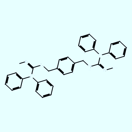 CC(C)/N=C(/NCc1ccc(CN/C(=N/C(C)C)P(c2ccccc2)c2ccccc2)cc1)P(c1ccccc1)c1ccccc1